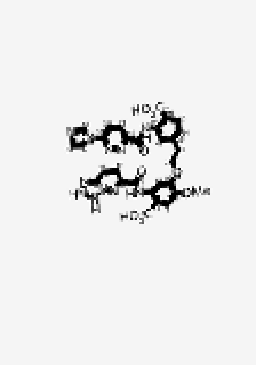 COc1cc(C(=O)O)c(NC(=O)C2=NN3NNN=C3C=C2)cc1OCCc1ccc(C(=O)O)c(NC(=O)c2ccc(-n3ccnc3)nn2)c1